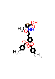 Cc1ccc(C(=O)Oc2ccc(C=CC(=O)Nc3c(C)csc3C(=O)O)cc2OC(=O)c2ccc(C)cc2)cc1